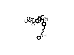 CCc1cc2cc(C(=O)N(CC(=O)OC)C(C)C)ccn2c1C(=O)c1ccc(CCCCNC2CCCC2)cc1.Cl